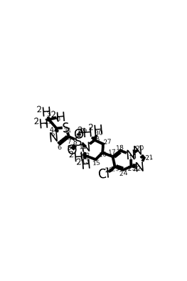 [2H]C([2H])([2H])c1ncc(S(=O)(=O)N2C([2H])([2H])CC(c3cn4ncnc4cc3Cl)CC2([2H])[2H])s1